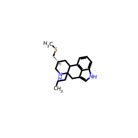 CCCC12Cc3c[nH]c4cccc(c34)C1C[C@@H](CSC)CN2